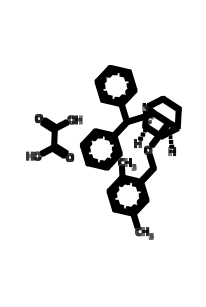 Cc1ccc(C)c(CO[C@@H]2C3CCN(CC3)[C@@H]2C(c2ccccc2)c2ccccc2)c1.O=C(O)C(=O)O